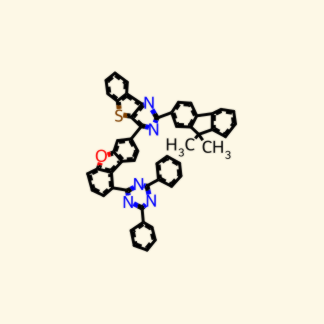 CC1(C)c2ccccc2-c2ccc(-c3nc(-c4ccc5c(c4)oc4cccc(-c6nc(-c7ccccc7)nc(-c7ccccc7)n6)c45)c4sc5ccccc5c4n3)cc21